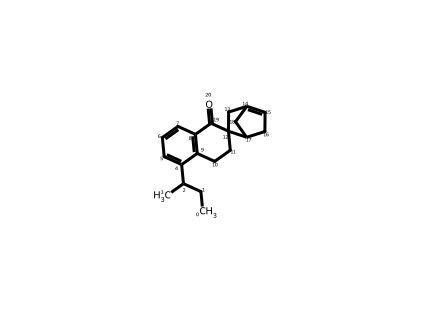 CCC(C)c1cccc2c1CCC1(CC3=CCC1C3)C2=O